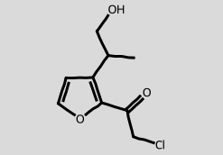 CC(CO)c1ccoc1C(=O)CCl